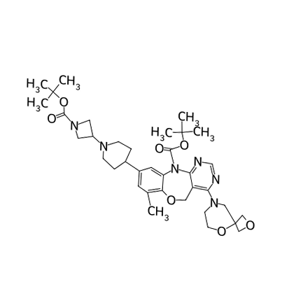 Cc1cc(C2CCN(C3CN(C(=O)OC(C)(C)C)C3)CC2)cc2c1OCc1c(N3CCOC4(COC4)C3)ncnc1N2C(=O)OC(C)(C)C